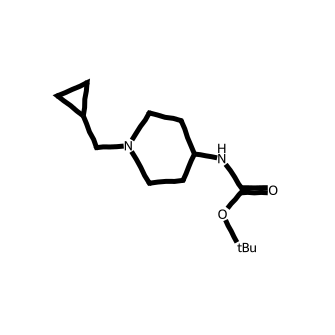 CC(C)(C)OC(=O)NC1CCN(CC2CC2)CC1